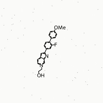 COc1ccc(-c2ccc(-c3cc4ccn(CCO)cc-4n3)cc2F)cc1